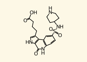 O=C(O)CCCc1c[nH]c2c(=O)[nH]c3ccc(S(=O)(=O)NC4CCNCC4)cc3c12